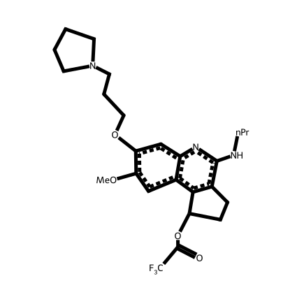 CCCNc1nc2cc(OCCCN3CCCC3)c(OC)cc2c2c1CCC2OC(=O)C(F)(F)F